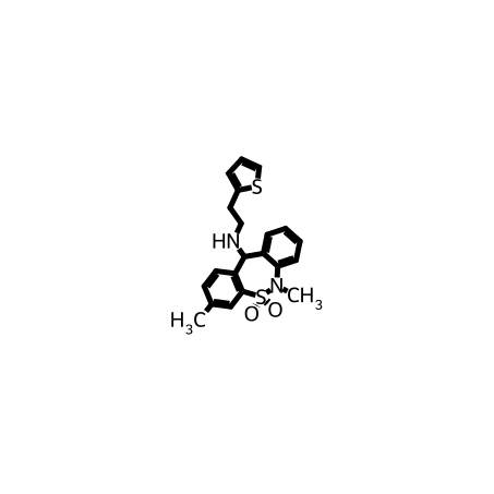 Cc1ccc2c(c1)S(=O)(=O)N(C)c1ccccc1C2NCCc1cccs1